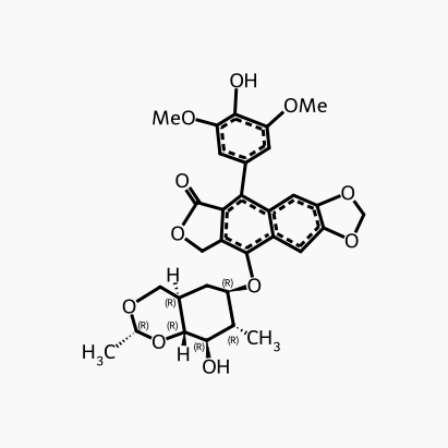 COc1cc(-c2c3c(c(O[C@@H]4C[C@@H]5CO[C@@H](C)O[C@H]5[C@H](O)[C@H]4C)c4cc5c(cc24)OCO5)COC3=O)cc(OC)c1O